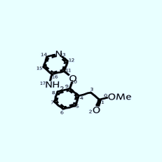 COC(=O)Cc1ccccc1Oc1cnccc1N